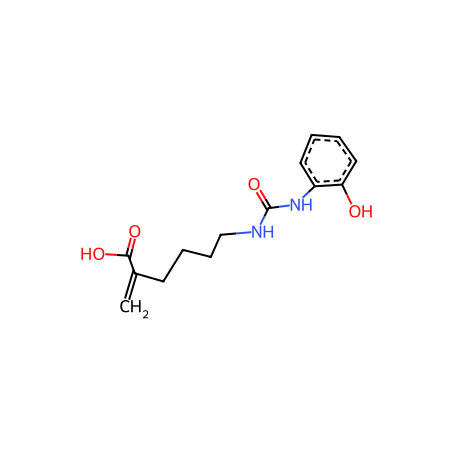 C=C(CCCCNC(=O)Nc1ccccc1O)C(=O)O